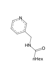 CCCCCCC(=O)NCc1cccnc1